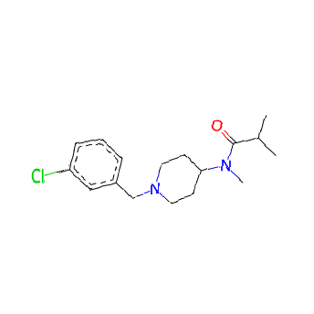 CC(C)C(=O)N(C)C1CCN(Cc2cccc(Cl)c2)CC1